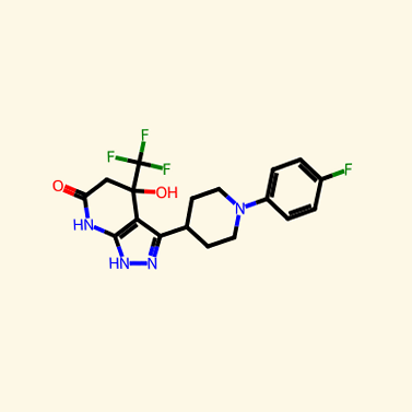 O=C1CC(O)(C(F)(F)F)c2c(C3CCN(c4ccc(F)cc4)CC3)n[nH]c2N1